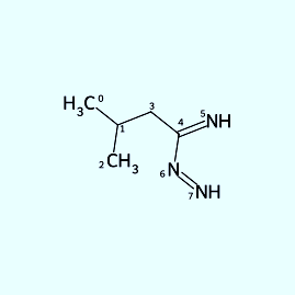 CC(C)CC(=N)N=N